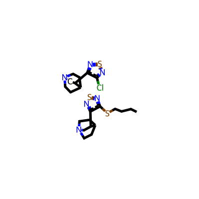 CCCCSc1nsnc1C1CN2CCC1CC2.Clc1nsnc1C1CN2CCC1CC2